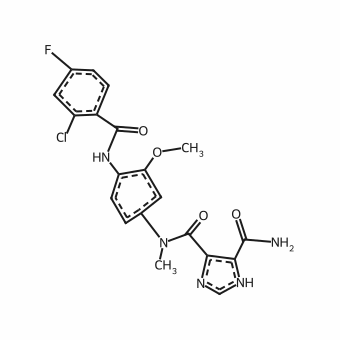 COc1cc(N(C)C(=O)c2nc[nH]c2C(N)=O)ccc1NC(=O)c1ccc(F)cc1Cl